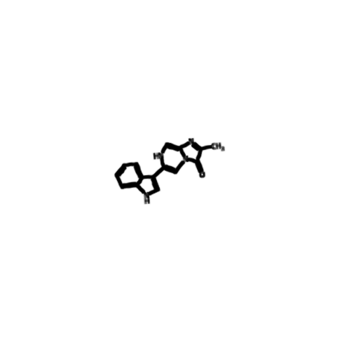 Cc1nc2c[nH]c(-c3c[nH]c4ccccc34)cn-2c1=O